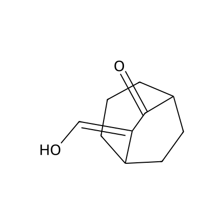 O=C1/C(=C/O)C2CCCC1CC2